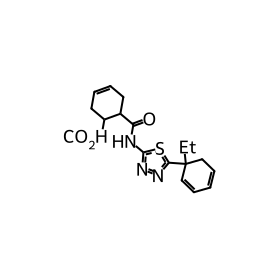 CCC1(c2nnc(NC(=O)C3CC=CCC3C(=O)O)s2)C=CC=CC1